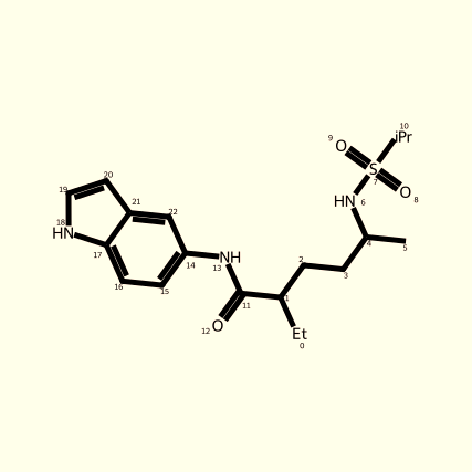 CCC(CCC(C)NS(=O)(=O)C(C)C)C(=O)Nc1ccc2[nH]ccc2c1